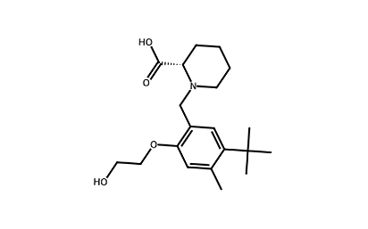 Cc1cc(OCCO)c(CN2CCCC[C@H]2C(=O)O)cc1C(C)(C)C